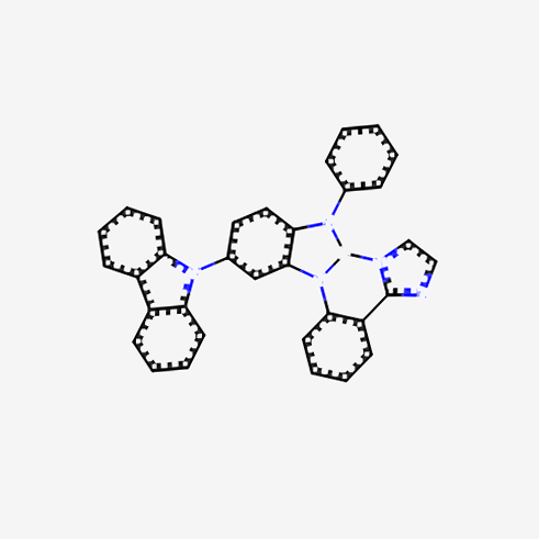 c1ccc(N2B3N(c4ccccc4-c4nccn43)c3cc(-n4c5ccccc5c5ccccc54)ccc32)cc1